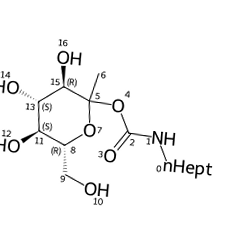 CCCCCCCNC(=O)OC1(C)O[C@H](CO)[C@@H](O)[C@H](O)[C@H]1O